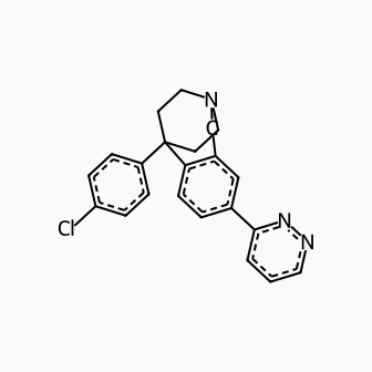 Clc1ccc(C23CCN(CC2)Cc2cc(-c4cccnn4)ccc23)cc1